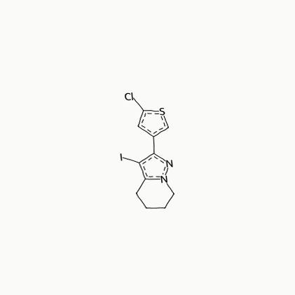 Clc1cc(-c2nn3c(c2I)CCCC3)cs1